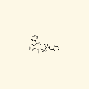 O=C(N[C@H]1N=C(c2nccs2)c2ccccc2NC1=O)OCc1ccccc1